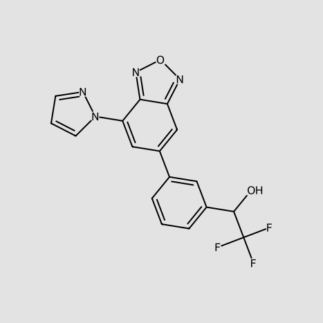 OC(c1cccc(-c2cc(-n3cccn3)c3nonc3c2)c1)C(F)(F)F